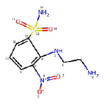 NCCNc1c([N+](=O)[O-])cccc1S(N)(=O)=O